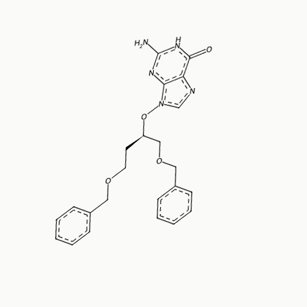 Nc1nc2c(ncn2O[C@H](CCOCc2ccccc2)COCc2ccccc2)c(=O)[nH]1